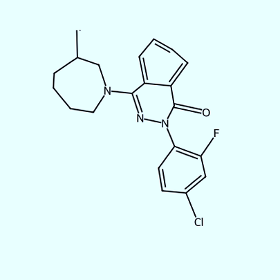 [CH2]C1CCCCN(c2nn(-c3ccc(Cl)cc3F)c(=O)c3ccccc23)C1